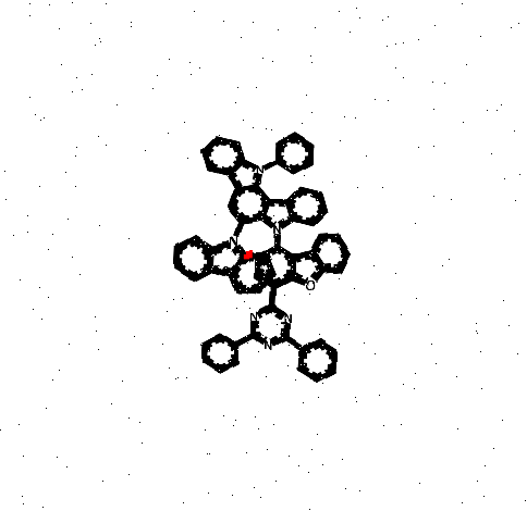 Cc1cc(-c2nc(-c3ccccc3)nc(-c3ccccc3)n2)c2oc3ccccc3c2c1-n1c2ccccc2c2c1c(-n1c3ccccc3c3ccccc31)cc1c3ccccc3n(-c3ccccc3)c12